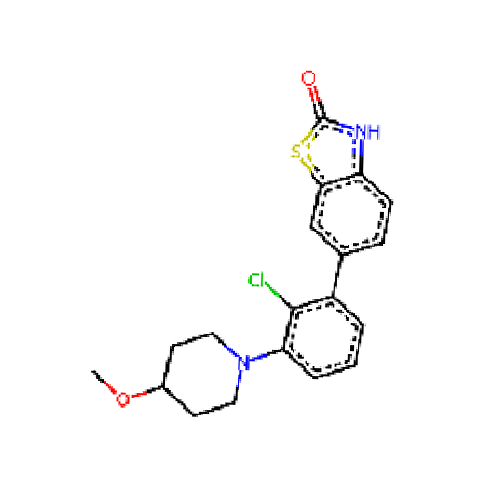 COC1CCN(c2cccc(-c3ccc4[nH]c(=O)sc4c3)c2Cl)CC1